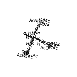 CC(=O)NC1[C@H](OCCOCCOCCNC(=O)CCOCC(COCCC(=O)NCCOCCOCCO[C@@H]2OC(COC(C)=O)[C@H](OC(C)=O)[C@H](OC(C)=O)C2NC(C)=O)(COCCC(=O)NCCOCCOCCO[C@@H]2OC(COC(C)=O)[C@H](OC(C)=O)[C@H](OC(C)=O)C2NC(C)=O)NC(=O)CNC(=O)OCc2ccccc2)OC(COC(C)=O)[C@H](OC(C)=O)[C@@H]1OC(C)=O